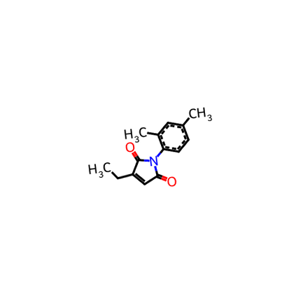 CCC1=CC(=O)N(c2ccc(C)cc2C)C1=O